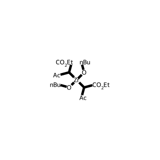 CCCC[O][Zr]([O]CCCC)([CH](C(C)=O)C(=O)OCC)[CH](C(C)=O)C(=O)OCC